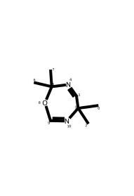 CC1(C)C=NC(C)(C)OC=N1